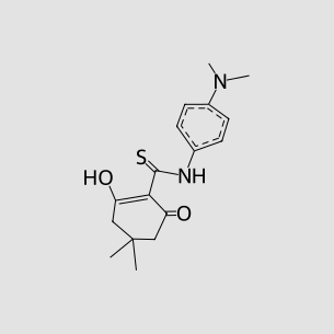 CN(C)c1ccc(NC(=S)C2=C(O)CC(C)(C)CC2=O)cc1